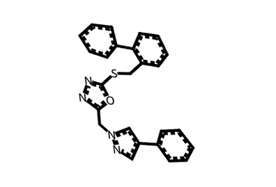 c1ccc(-c2cnn(Cc3nnc(SCc4ccccc4-c4ccccc4)o3)c2)cc1